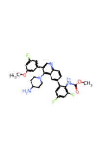 COC(=O)Nc1c(F)cc(F)cc1-c1ccc2ncc(-c3cc(F)cc(OC)c3)c(N3CCC(N)CC3)c2c1